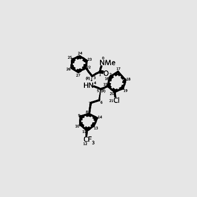 CNC(=O)[C@H](N[C@H](CCc1ccc(C(F)(F)F)cc1)c1ccccc1Cl)c1ccccc1